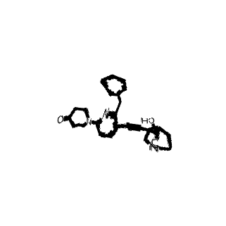 O=C1CCN(c2ccc(C#CC3(O)CN4CCC3CC4)c(Cc3ccccc3)n2)CC1